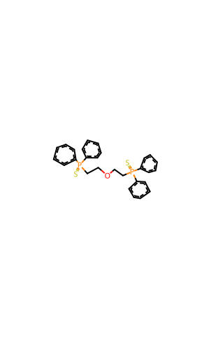 S=P(CCOCCP(=S)(c1ccccc1)c1ccccc1)(c1ccccc1)c1ccccc1